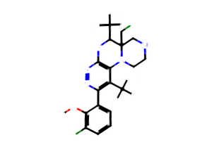 COc1c(F)cccc1-c1nnc2c(c1C(C)(C)C)N1CCNCC1(CF)C(C(C)(C)C)N2